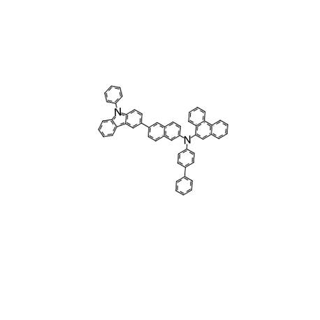 c1ccc(-c2ccc(N(c3ccc4cc(-c5ccc6c(c5)c5ccccc5n6-c5ccccc5)ccc4c3)c3cc4ccccc4c4ccccc34)cc2)cc1